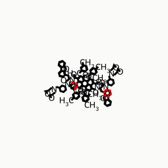 Cc1ccc(Oc2cc3c4c(cc(Oc5ccc(C)cc5C)c5c6c(Oc7ccc(C)cc7C)cc7c8c(cc(Oc9ccc(C)cc9C)c(c2c45)c86)C(=O)N(C(Cc2cccc4c2oc2ccccc24)C(=O)N(c2ccccc2)C2CCCC(CN(CC4CO4)CC4CO4)C2)C7=O)C(=O)N(C(Cc2cccc4c2oc2ccccc24)C(=O)N(c2ccccc2)C2CCCC(CN(CC4CO4)CC4CO4)C2)C3=O)c(C)c1